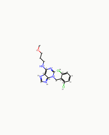 COCCCNc1ncn(Cc2c(Cl)cccc2Cl)c2ncnc1-2